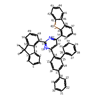 CC1(C)c2ccccc2-c2c(-c3nc(-c4ccc(-c5ccccc5)cc4-c4ccccc4)cc(-c4cccc5c4sc4ccccc45)n3)cccc21